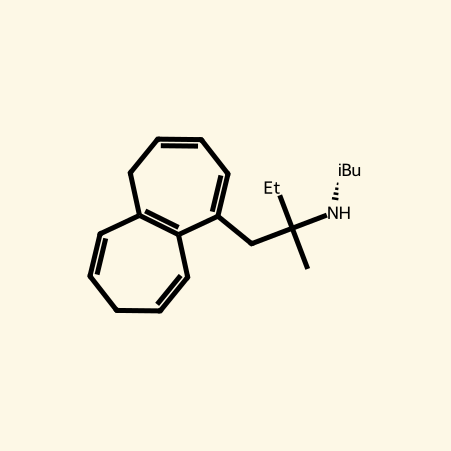 CC[C@@H](C)NC(C)(CC)CC1=CC=CCC2=C1C=CCC=C2